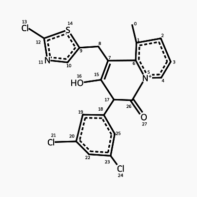 Cc1ccc[n+]2c1C(Cc1cnc(Cl)s1)=C(O)C(c1cc(Cl)cc(Cl)c1)C2=O